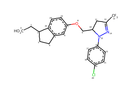 O=C(O)CC1CCc2cc(OCC3CC(C(F)(F)F)=NN3c3ccc(Cl)cc3)ccc21